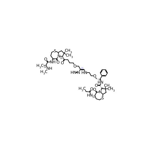 CCC(=O)N[C@H]1CCSC2CC(C)(C)[C@@H](C(=O)N[C@H](COCCN/C=C(/COCCCC(=O)[C@H]3N4C(=O)[C@@H](NC(=O)[C@H](C)NC)CCSC4CC3(C)C)N=N)c3ccccc3)N2C1=O